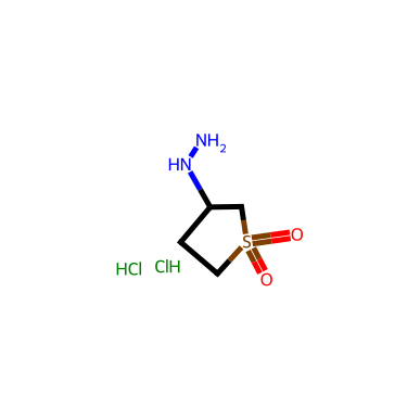 Cl.Cl.NNC1CCS(=O)(=O)C1